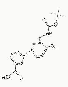 COc1ccc(-c2cccc(C(=O)O)c2)cc1CNC(=O)OC(C)(C)C